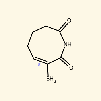 B/C1=C/CCCC(=O)NC1=O